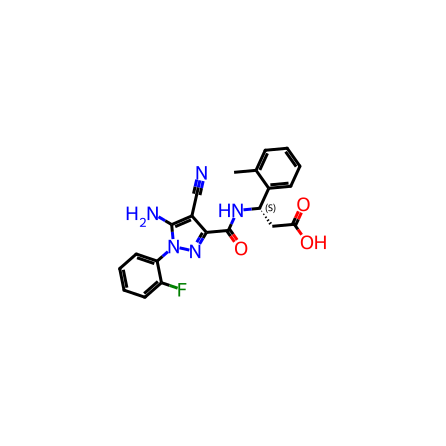 Cc1ccccc1[C@H](CC(=O)O)NC(=O)c1nn(-c2ccccc2F)c(N)c1C#N